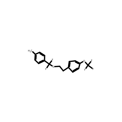 Cc1ccc(C(F)(F)OCCc2ccc(OC(F)(F)F)cc2)cc1